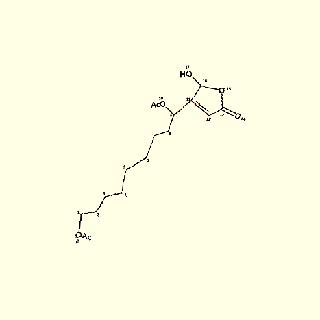 CC(=O)OCCCCCCCCC(OC(C)=O)C1=CC(=O)OC1O